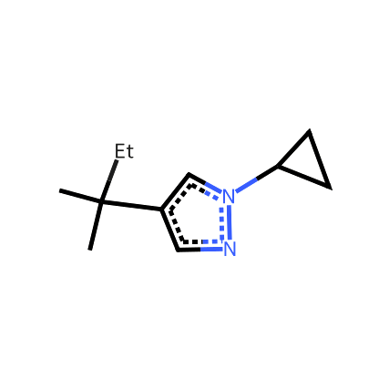 CCC(C)(C)c1cnn(C2CC2)c1